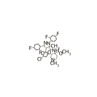 COCC1(NC(=O)C2(C)C(c3ccc(Cl)o3)C(c3ccc(F)cc3F)=NN2c2ccc(F)cc2F)CCN(C)CC1